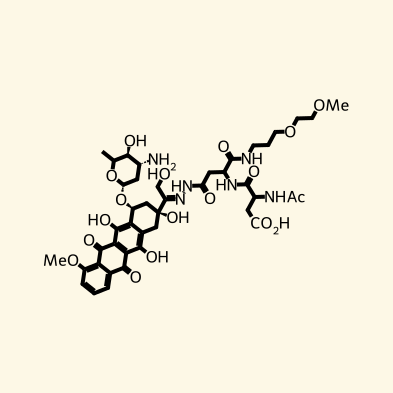 COCCOCCCNC(=O)C(CC(=O)N/N=C(\CO)[C@]1(O)Cc2c(O)c3c(c(O)c2[C@@H](O[C@H]2C[C@@H](N)[C@H](O)C(C)O2)C1)C(=O)c1c(OC)cccc1C3=O)NC(=O)C(CC(=O)O)NC(C)=O